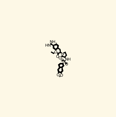 CCOC(=O)C(Cc1ccc(C(=N)N)cc1)N1CCC(NS(=O)(=O)c2ccc3cc4c(cc3c2)OCO4)C1=O